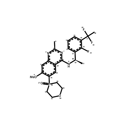 COc1cc2nc(C)nc(N[C@H](C)c3cccc(C(C)(F)F)c3F)c2cc1P1(=O)CCOCC1